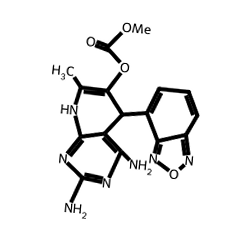 COC(=O)OC1=C(C)Nc2nc(N)nc(N)c2C1c1cccc2nonc12